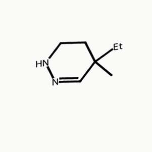 CCC1(C)C=NNCC1